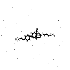 CCCCC[C@@H]1CC[C@@H]2CC(C3CCC(CCC)CC3)CC[C@]2(C#N)C1